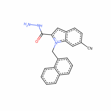 N#Cc1ccc2cc(C(=O)NN)n(Cc3cccc4ccccc34)c2c1